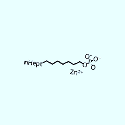 CCCCCCCCCCCCCCOP(=O)([O-])[O-].[Zn+2]